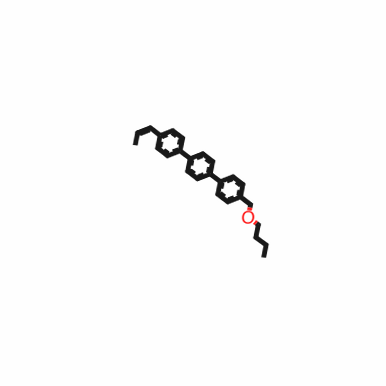 C/C=C\c1ccc(-c2ccc(-c3ccc(COCCCC)cc3)cc2)cc1